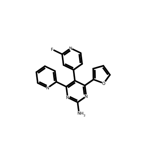 Nc1nc(-c2ccccn2)c(-c2ccnc(F)c2)c(-c2ccco2)n1